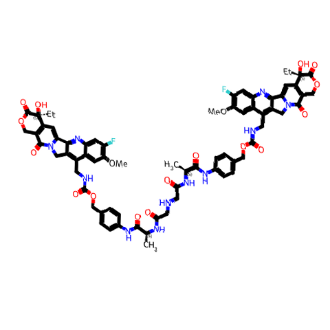 CC[C@@]1(O)C(=O)OCc2c1cc1n(c2=O)Cc2c-1nc1cc(F)c(OC)cc1c2CNC(=O)OCc1ccc(NC(=O)[C@H](C)NC(=O)CNCC(=O)N[C@@H](C)C(=O)Nc2ccc(COC(=O)NCc3c4c(nc5cc(F)c(OC)cc35)-c3cc5c(c(=O)n3C4)COC(=O)[C@]5(O)CC)cc2)cc1